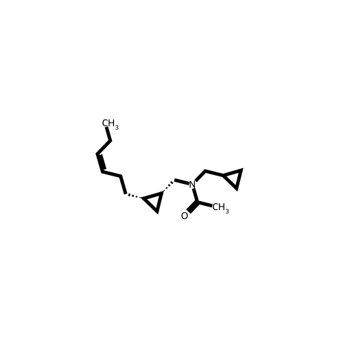 CC/C=C\CC[C@H]1C[C@H]1CN(CC1CC1)C(C)=O